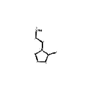 CNCCN1CCC[C@@H]1C